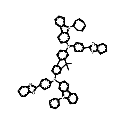 CC1(C)c2cc(N(c3ccc(-c4nc5ccccc5o4)cc3)c3ccc4c5ccccc5n(C5=CC=CC=CC5)c4c3)ccc2-c2ccc(N(c3ccc(-c4nc5ccccc5o4)cc3)c3ccc4c5ccccc5n(-c5ccccc5)c4c3)cc21